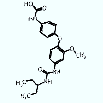 CCC(CC)NC(=O)Nc1ccc(Oc2ccc(NC(=O)O)cc2)c(OC)c1